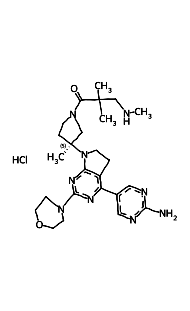 CNCC(C)(C)C(=O)N1CC[C@](C)(N2CCc3c(-c4cnc(N)nc4)nc(N4CCOCC4)nc32)C1.Cl